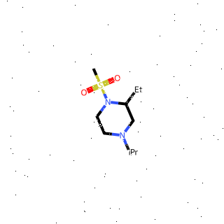 CCC1CN(C(C)C)CCN1S(C)(=O)=O